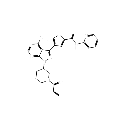 C=CC(=O)N1CCCC(n2nc(-c3csc(C(=O)Nc4ccccn4)c3)c3c(N)ncnc32)C1